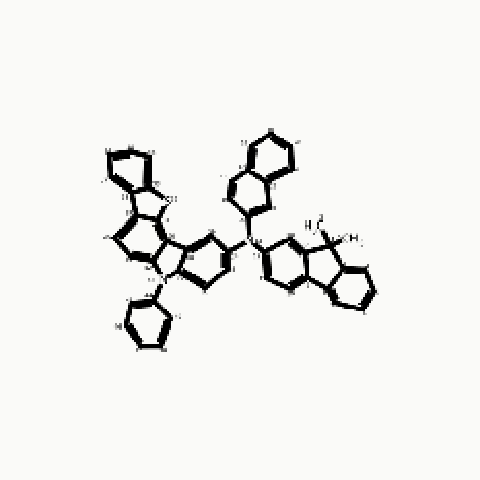 CC1(C)c2ccccc2-c2ccc(N(c3ccc4ccccc4c3)c3ccc4c(c3)c3c5sc6ccccc6c5ccc3n4-c3ccccc3)cc21